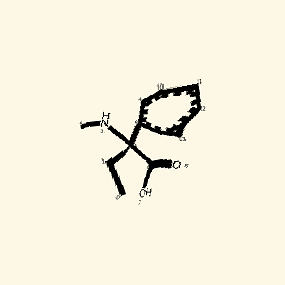 CC[C@](NC)(C(=O)O)c1ccccc1